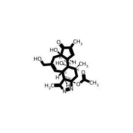 C=C1N=N[C@]2(OC(C)=O)C[C@@H](C)[C@@]3(O)[C@@H](C=C(CO)C[C@]4(O)C(=O)C(C)=C[C@@H]34)[C@H]12